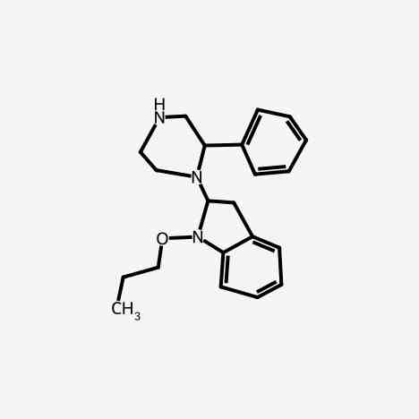 CCCON1c2ccccc2CC1N1CCNCC1c1ccccc1